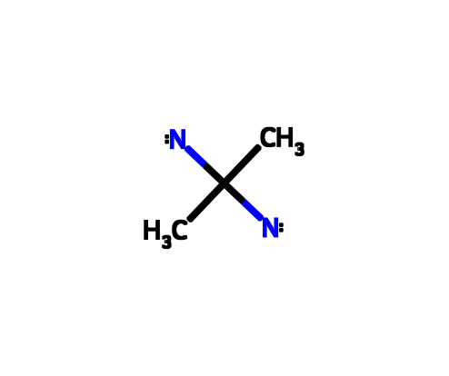 CC(C)([N])[N]